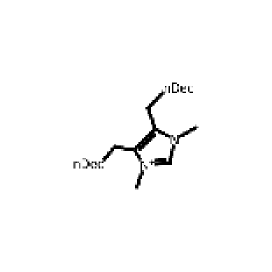 CCCCCCCCCCCc1c(CCCCCCCCCCC)[n+](C)cn1C